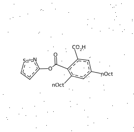 CCCCCCCCc1cc(CCCCCCCC)c(C(=O)Oc2ccsn2)c(C(=O)O)c1